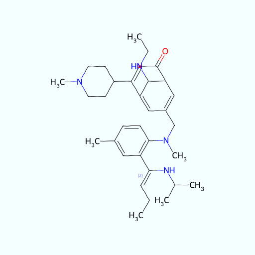 CC/C=C(\NC(C)C)c1cc(C)ccc1N(C)CC1=CC2C(=O)C=C(C3CCN(C)CC3)C(=C1)C2NCC